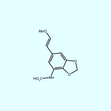 COC=Cc1cc(NC(=O)O)c2c(c1)OCO2